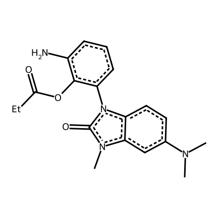 CCC(=O)Oc1c(N)cccc1-n1c(=O)n(C)c2cc(N(C)C)ccc21